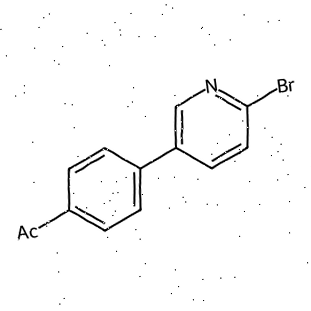 CC(=O)c1ccc(-c2ccc(Br)nc2)cc1